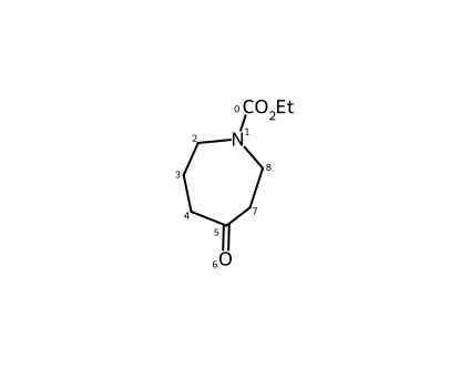 CCOC(=O)N1CCCC(=O)CC1